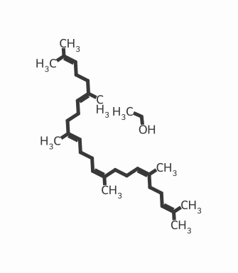 CC(C)=CCCC(C)=CCCC(C)=CCCC=C(C)CCC=C(C)CCC=C(C)C.CCO